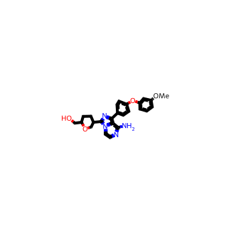 COc1cccc(Oc2ccc(-c3nc(C4CCC(CO)OC4)n4ccnc(N)c34)cc2)c1